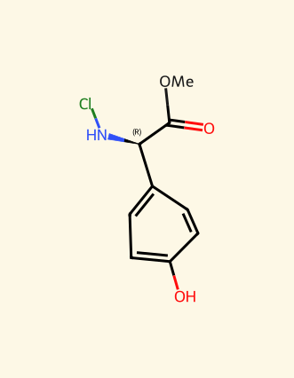 COC(=O)[C@H](NCl)c1ccc(O)cc1